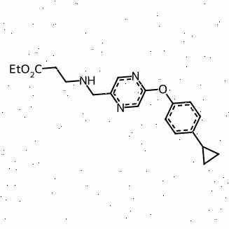 CCOC(=O)CCNCc1cnc(Oc2ccc(C3CC3)cc2)cn1